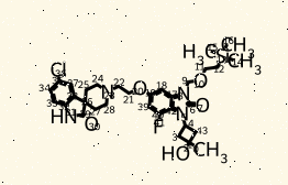 CC1(O)CC(n2c(=O)n(COCC[Si](C)(C)C)c3cc(OCCN4CCC5(CC4)C(=O)Nc4ccc(Cl)cc45)cc(F)c32)C1